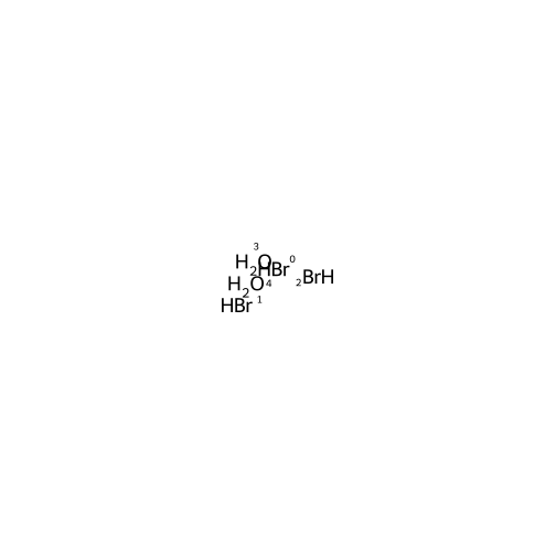 Br.Br.Br.O.O